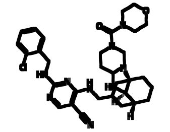 N#Cc1cnc(NCc2ccccc2Cl)nc1NCC1C[C@H]2CCC[C@@H](C1)[C@@H]2NC1CCN(C(=O)N2CCOCC2)CC1